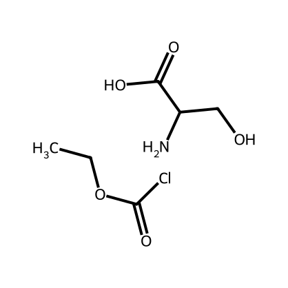 CCOC(=O)Cl.NC(CO)C(=O)O